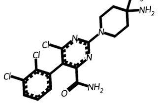 CC1(N)CCN(c2nc(Cl)c(-c3cccc(Cl)c3Cl)c(C(N)=O)n2)CC1